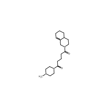 CN1CCN(C(=O)CCCC(=O)N2CCC3CCCC=C3C2)CC1